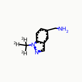 [2H]C([2H])([2H])n1ncc2cc(CN)ccc21